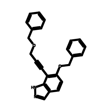 C(#Cc1c(OCc2ccccc2)ccc2cn[nH]c12)COCc1ccccc1